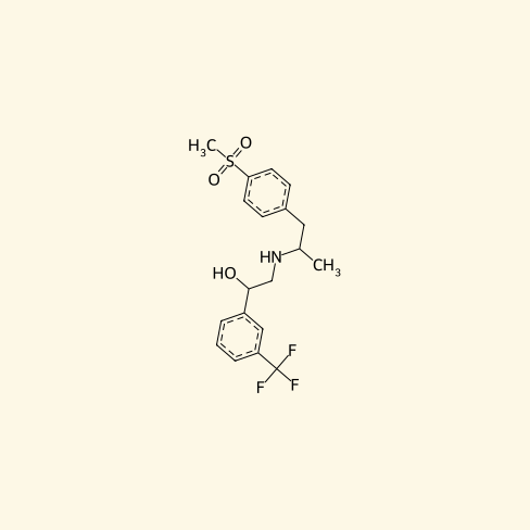 CC(Cc1ccc(S(C)(=O)=O)cc1)NCC(O)c1cccc(C(F)(F)F)c1